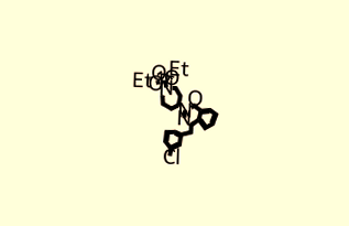 CCOP(=O)(OCC)N1CCCC(n2nc(Cc3cccc(Cl)c3)c3ccccc3c2=O)CC1